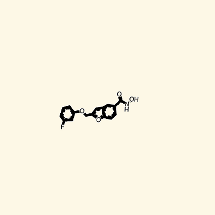 O=C(NO)c1ccc2oc(COc3cccc(F)c3)cc2c1